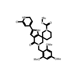 COc1cc(OC)c(CN2CC3(CCCN(C(=O)OC(C)(C)C)C3)c3[nH]c(C4=CCNC(Cl)=C4)cc3C2=O)c(OC)c1